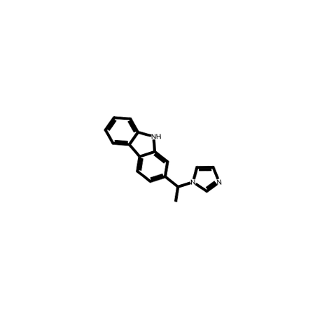 CC(c1ccc2c(c1)[nH]c1ccccc12)n1ccnc1